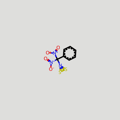 O=[N+]([O-])C(c1ccccc1)(n1ss1)[N+](=O)[O-]